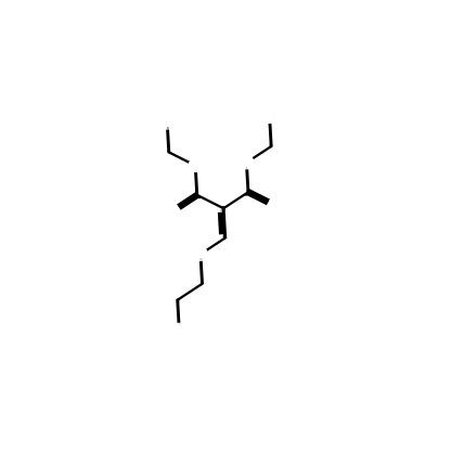 CCCOC=C(C(=O)OCC)C(=O)OCC